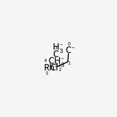 [CH2-]CCl.[CH3-].[CH3-].[Rh+3]